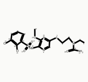 CCN(CCSc1cnc(NS(=O)(=O)c2cccc(Cl)c2Cl)c(OC)n1)C(N)=O